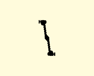 O=S(=O)(O)CCCCCCCCCCCCN1CCN(CCCCCCCCCCCCS(=O)(=O)O)CC1